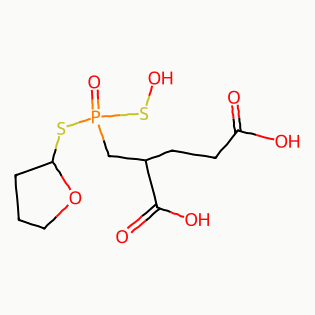 O=C(O)CCC(CP(=O)(SO)SC1CCCO1)C(=O)O